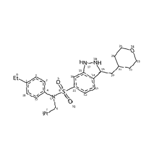 CCc1ccc(N(CC(C)C)S(=O)(=O)c2ccc3c(c2)NNC3CC2CCOCC2)cc1